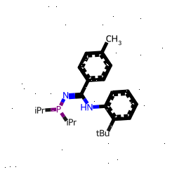 Cc1ccc(C(=NP(C(C)C)C(C)C)Nc2ccccc2C(C)(C)C)cc1